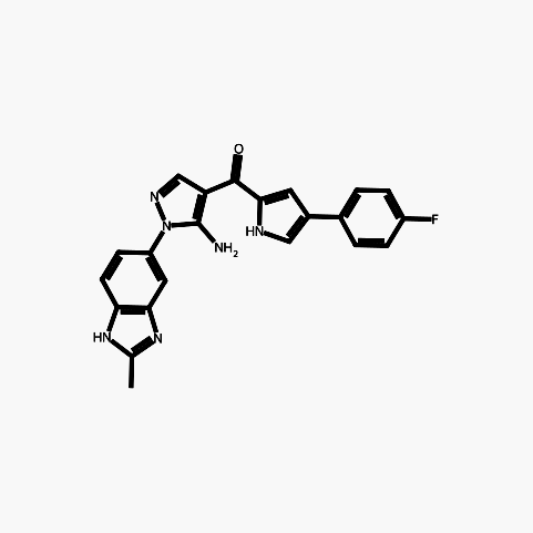 Cc1nc2cc(-n3ncc(C(=O)c4cc(-c5ccc(F)cc5)c[nH]4)c3N)ccc2[nH]1